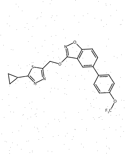 FC(F)(F)Oc1ccc(-c2ccc3onc(OCc4nnc(C5CC5)s4)c3c2)cc1